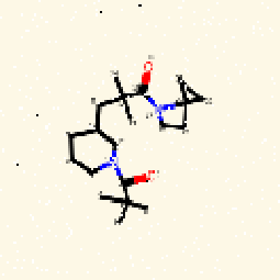 CC(C)(C)C(=O)N1CCCC(CC(C)(C)C(=O)N2CCC23CC3)C1